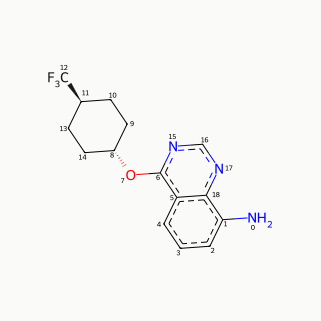 Nc1cccc2c(O[C@H]3CC[C@H](C(F)(F)F)CC3)ncnc12